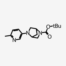 Cc1ccc(N2CC3CC2CN3C(=O)OC(C)(C)C)cn1